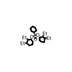 CCc1cccc(OP(=O)(Oc2cccc(CC)c2CC)c2ccccc2)c1CC